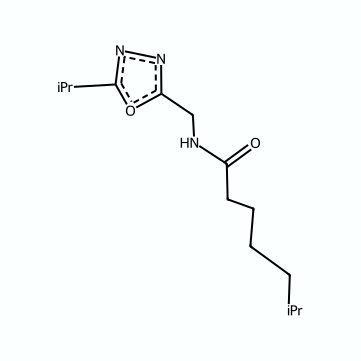 CC(C)CCCCC(=O)NCc1nnc(C(C)C)o1